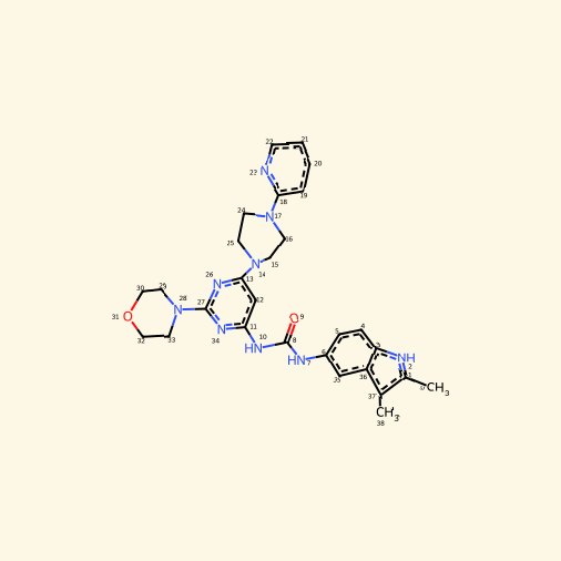 Cc1[nH]c2ccc(NC(=O)Nc3cc(N4CCN(c5ccccn5)CC4)nc(N4CCOCC4)n3)cc2c1C